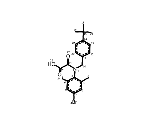 Cc1cc(Br)cc(C)c1N(Cc1ccc(C(C)(C)C)cc1)C(=O)C(=O)O